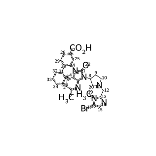 Cc1ccc2c(n1)n(C1CCN(Cc3ncc(Br)n3C)C1)c(=O)n2-c1cc(C(=O)O)ccc1-c1ccccc1